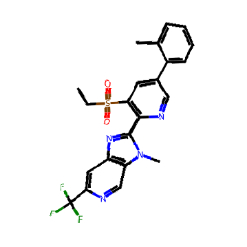 CCS(=O)(=O)c1cc(-c2ccccc2C)cnc1-c1nc2cc(C(F)(F)F)ncc2n1C